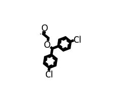 O=[C]COC(c1ccc(Cl)cc1)c1ccc(Cl)cc1